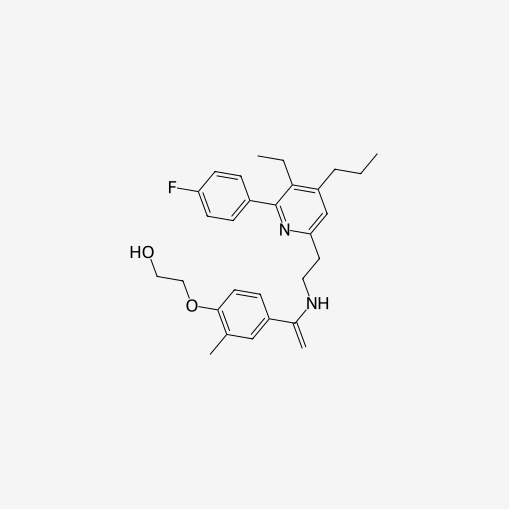 C=C(NCCc1cc(CCC)c(CC)c(-c2ccc(F)cc2)n1)c1ccc(OCCO)c(C)c1